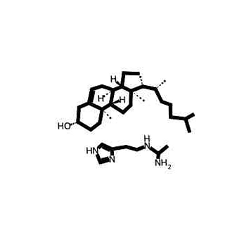 CC(C)CCC[C@@H](C)[C@H]1CC[C@H]2[C@@H]3CC=C4C[C@@H](O)CC[C@]4(C)[C@H]3CC[C@]12C.CC(N)NCCc1c[nH]cn1